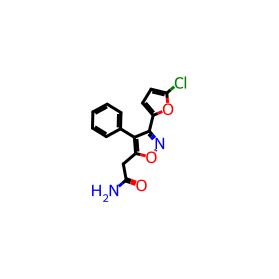 NC(=O)Cc1onc(-c2ccc(Cl)o2)c1-c1ccccc1